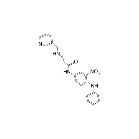 O=C(CCNCc1cccnc1)Nc1ccc(Nc2ccccc2)c([N+](=O)[O-])c1